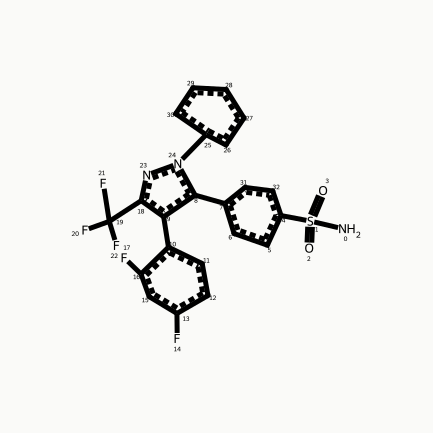 NS(=O)(=O)c1ccc(-c2c(-c3ccc(F)cc3F)c(C(F)(F)F)nn2-c2ccccc2)cc1